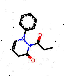 CCC(=O)N1C(=O)CC=CN1c1ccccc1